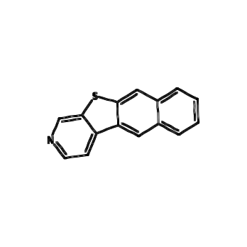 c1ccc2cc3c(cc2c1)sc1cnccc13